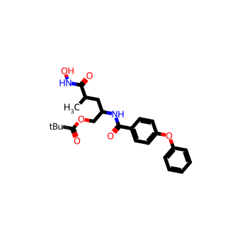 CC(CC(COC(=O)C(C)(C)C)NC(=O)c1ccc(Oc2ccccc2)cc1)C(=O)NO